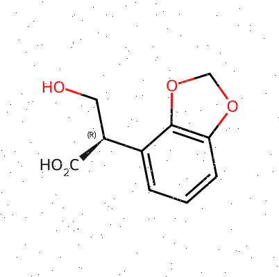 O=C(O)[C@@H](CO)c1cccc2c1OCO2